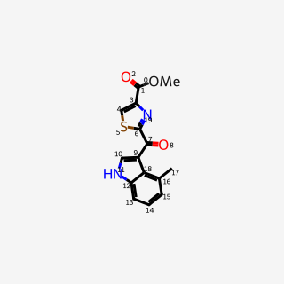 COC(=O)c1csc(C(=O)c2c[nH]c3cccc(C)c23)n1